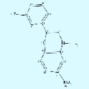 CN1CC(c2cccc(F)c2)Oc2ccc([N+](=O)[O-])cc21